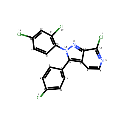 Clc1ccc(-c2c3ccnc(Cl)c3nn2-c2ccc(Cl)cc2Cl)cc1